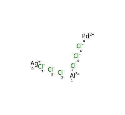 [Ag+].[Al+3].[Cl-].[Cl-].[Cl-].[Cl-].[Cl-].[Cl-].[Pd+2]